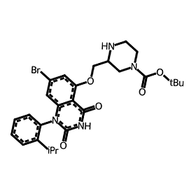 CC(C)c1ccccc1-n1c(=O)[nH]c(=O)c2c(OCC3CN(C(=O)OC(C)(C)C)CCN3)cc(Br)cc21